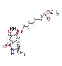 COC(=O)CCCCCCCCOc1cc2nc(C)[nH]c(=O)c2cc1OC